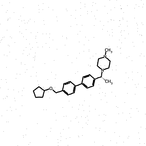 C[C@H](c1ccc(-c2ccc(COC3CCCC3)cc2)cc1)N1CCN(C)CC1